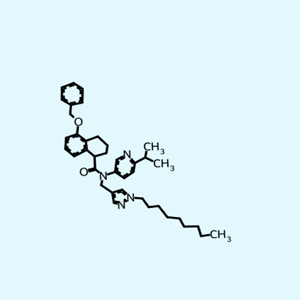 CCCCCCCCCn1cc(CN(C(=O)C2CCCc3c(OCc4ccccc4)cccc32)c2ccc(C(C)C)nc2)cn1